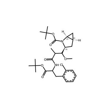 COC(C(C)C(=O)NC(Cc1ccccc1Cl)C(=O)OC(C)(C)C)[C@@H]1C[C@@H]2C[C@@H]2N1C(=O)OC(C)(C)C